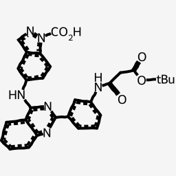 CC(C)(C)OC(=O)CC(=O)Nc1cccc(-c2nc(Nc3ccc4c(cnn4C(=O)O)c3)c3ccccc3n2)c1